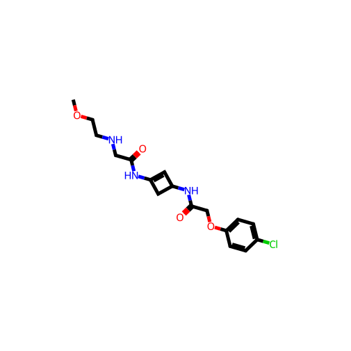 COCCNCC(=O)NC1=CC(NC(=O)COc2ccc(Cl)cc2)C1